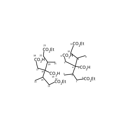 CCOC(=O)CC(C)C(CC(=O)O)(C(=O)O)C(C)CC(=O)OCC.CCOC(=O)CC(C)C(CC(=O)O)(C(=O)O)C(C)CC(=O)OCC